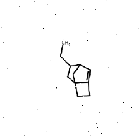 CCC1CC23CCC2=CC1C3